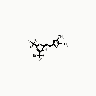 Cc1cc(CC=C2N=C(C(Br)(Br)Br)N=C(C(Br)(Br)Br)N2)oc1C